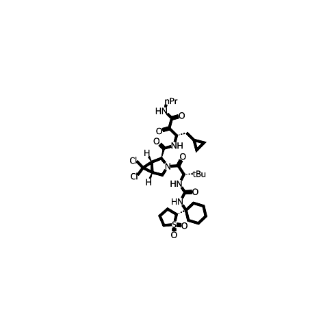 CCCNC(=O)C(=O)[C@H](CC1CC1)NC(=O)[C@@H]1[C@@H]2[C@H](CN1C(=O)[C@@H](NC(=O)NC1([C@H]3CCCS3(=O)=O)CCCCC1)C(C)(C)C)C2(Cl)Cl